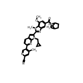 COc1cc(C(=O)N2CC3CCC2[C@@H]3N)cc2nc(-c3cc4ccc(-c5cnc(C#N)cc5C)nc4n3CC3CC3)n(C)c12